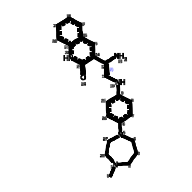 CN1CCCN(c2ccc(N/C=C(\N)c3cc4ccccc4[nH]c3=O)cc2)CC1